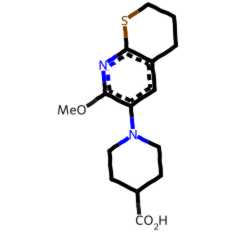 COc1nc2c(cc1N1CCC(C(=O)O)CC1)CCCS2